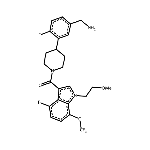 COCCn1cc(C(=O)N2CCC(c3cc(CN)ccc3F)CC2)c2c(F)ccc(OC(F)(F)F)c21